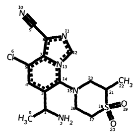 CC(N)c1cc(Cl)c2c(C#N)ncn2c1N1CCS(=O)(=O)C(C)C1